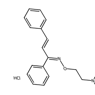 CN(C)CCON=C(C=Cc1ccccc1)c1ccccc1.Cl